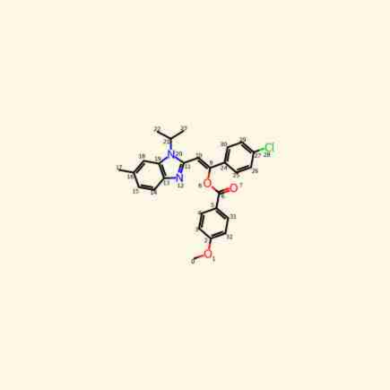 COc1ccc(C(=O)OC(=Cc2nc3ccc(C)cc3n2C(C)C)c2ccc(Cl)cc2)cc1